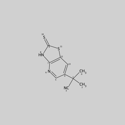 CC(C)(C#N)c1cnc2[nH]c(=S)sc2c1